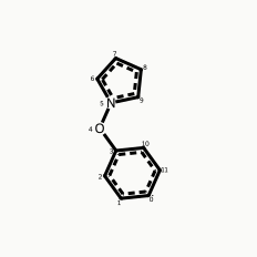 [c]1ccc(On2cccc2)cc1